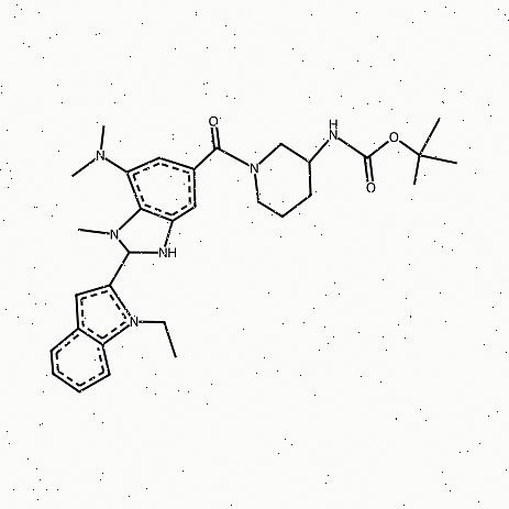 CCn1c(C2Nc3cc(C(=O)N4CCCC(NC(=O)OC(C)(C)C)C4)cc(N(C)C)c3N2C)cc2ccccc21